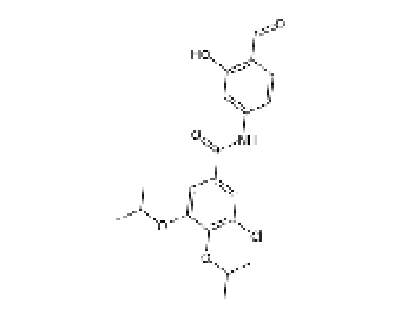 CC(C)Oc1cc(C(=O)Nc2ccc(C=O)c(O)c2)cc(Cl)c1OC(C)C